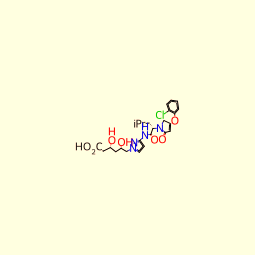 CC(C)C[C@@H](C(=O)Nc1ccn(C[C@@H](O)C[C@@H](O)CC(=O)O)n1)N1CC(Oc2ccccc2Cl)=CC1=O